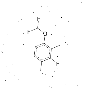 Cc1ccc(OC(F)F)c(C)c1F